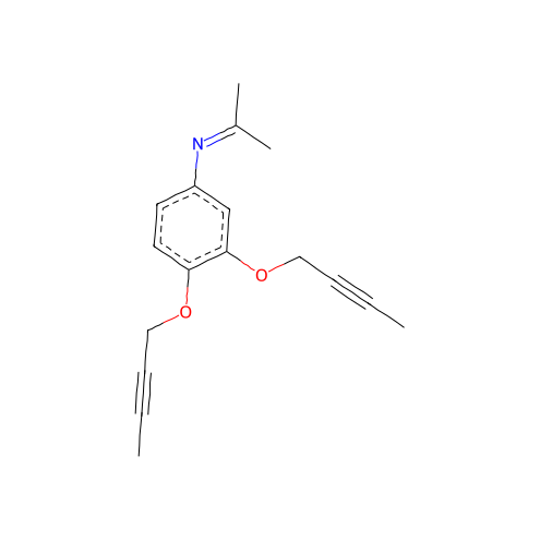 CC#CCOc1ccc(N=C(C)C)cc1OCC#CC